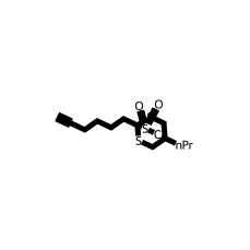 C#CCCCCC12SCC(CCC)(CS1)CS2(=O)=O